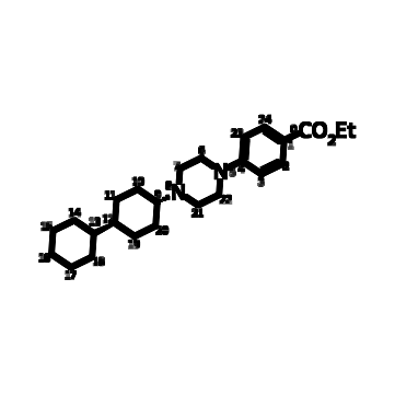 CCOC(=O)c1ccc(N2CCN([C@H]3CC[C@H](C4CCCCC4)CC3)CC2)cc1